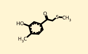 CSCC(=O)c1ccc(C)c(O)c1